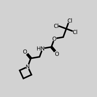 O=C(NCC(=O)N1CCC1)OCC(Cl)(Cl)Cl